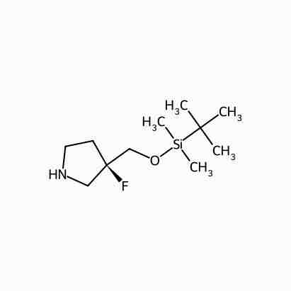 CC(C)(C)[Si](C)(C)OC[C@@]1(F)CCNC1